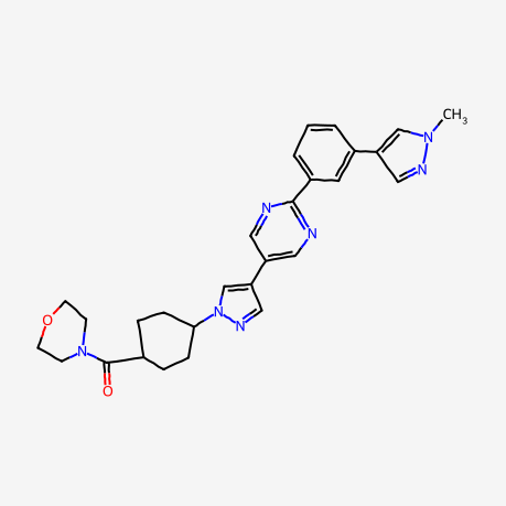 Cn1cc(-c2cccc(-c3ncc(-c4cnn(C5CCC(C(=O)N6CCOCC6)CC5)c4)cn3)c2)cn1